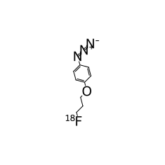 [N-]=[N+]=Nc1ccc(OCCC[18F])cc1